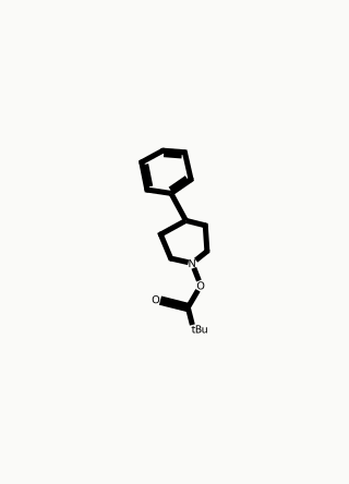 CC(C)(C)C(=O)ON1CCC(c2ccccc2)CC1